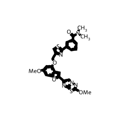 COc1cc(OCc2csc(-c3cccc(C(=O)N(C)C)c3)n2)c2cc(-c3cn4nc(OC)sc4n3)oc2c1